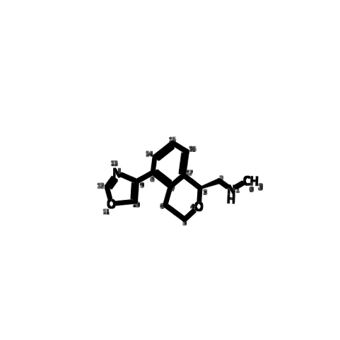 CNC[C@H]1OCCc2c(-c3cocn3)cccc21